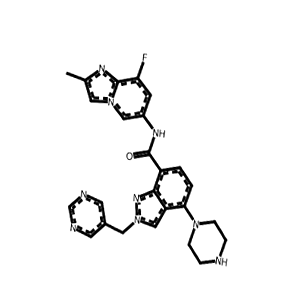 Cc1cn2cc(NC(=O)c3ccc(N4CCNCC4)c4cn(Cc5cncnc5)nc34)cc(F)c2n1